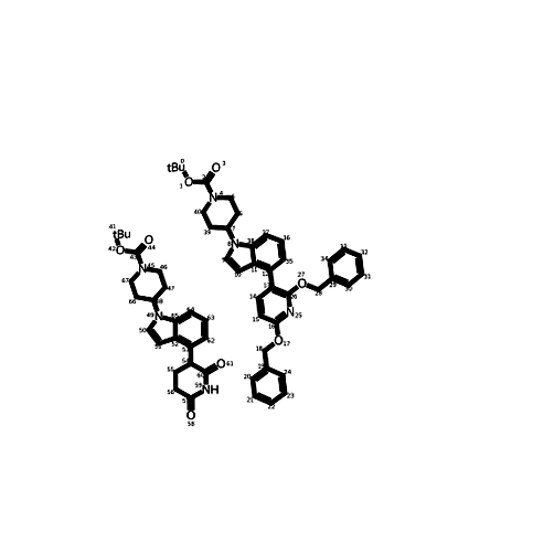 CC(C)(C)OC(=O)N1CCC(n2ccc3c(-c4ccc(OCc5ccccc5)nc4OCc4ccccc4)cccc32)CC1.CC(C)(C)OC(=O)N1CCC(n2ccc3c(C4CCC(=O)NC4=O)cccc32)CC1